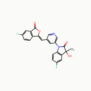 CC1(O)C(=O)N(c2cncc(C=C3OC(=O)c4cc(F)ccc43)c2)c2ccc(F)cc21